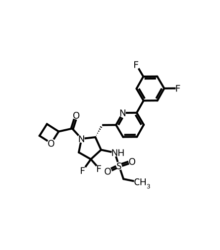 CCS(=O)(=O)NC1[C@@H](Cc2cccc(-c3cc(F)cc(F)c3)n2)N(C(=O)C2CCO2)CC1(F)F